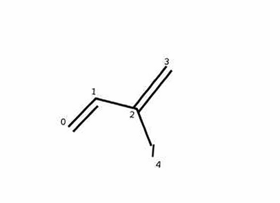 C=CC(=C)I